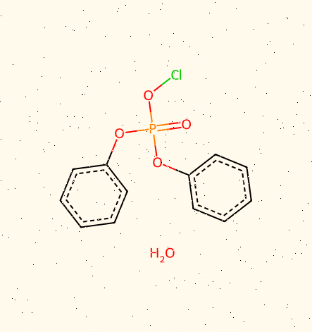 O.O=P(OCl)(Oc1ccccc1)Oc1ccccc1